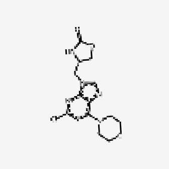 O=C1N[C@H](Cn2cnc3c(N4CCOCC4)cc(Cl)nc32)CO1